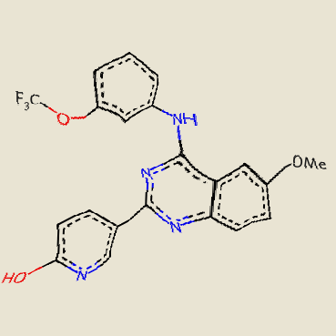 COc1ccc2nc(-c3ccc(O)nc3)nc(Nc3cccc(OC(F)(F)F)c3)c2c1